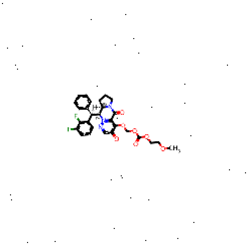 COCCOC(=O)OCOc1c2n(ncc1=O)[C@@H]([C@H](c1ccccc1)c1cccc(F)c1F)[C@H]1CCCN1C2=O